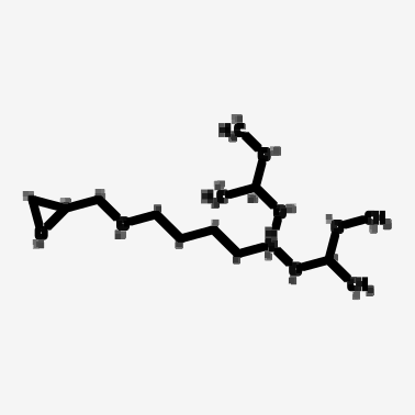 COC(C)O[SiH](CCCCOCC1CO1)OC(C)OC